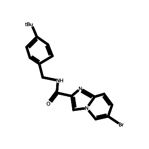 CC(C)(C)c1ccc(CNC(=O)c2cn3cc(Br)ccc3n2)cc1